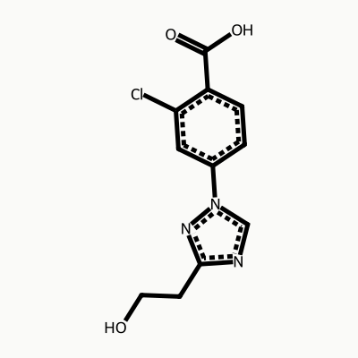 O=C(O)c1ccc(-n2cnc(CCO)n2)cc1Cl